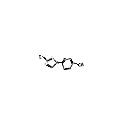 N#Cc1ccc(-n2cnc(Br)n2)cc1